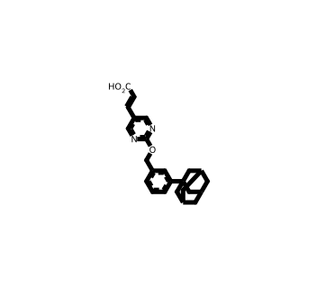 O=C(O)C=Cc1cnc(OCc2cccc(C34CC5CC(CC(C5)C3)C4)c2)nc1